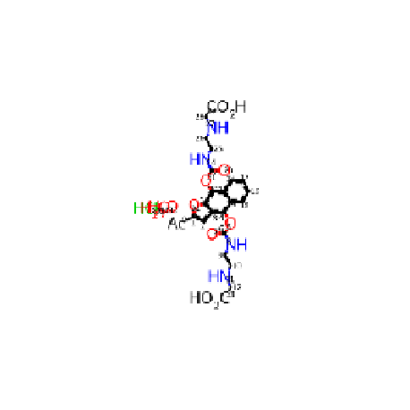 CC(=O)c1cc2c(OC(=O)NCCNCC(=O)O)c3ccccc3c(OC(=O)NCCNCC(=O)O)c2o1.Cl.O.O